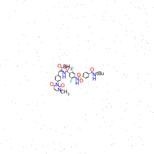 BC(=O)[C@H](Cc1ccc(-n2c(=O)ccn(C)c2=O)cc1)NC(=O)c1cc(F)c(NS(=O)(=O)c2ccc(C(=O)NC(C)(C)C)cc2)cc1F